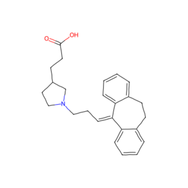 O=C(O)CCC1CCN(CCC=C2c3ccccc3CCc3ccccc32)C1